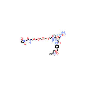 CC(=O)[C@H](C(C)C)N(C)C(=O)OCc1ccc(NC(=O)[C@H](CCCNC(N)=O)NC(=O)[C@@H](NC(=O)CCOCCOCCOCCOCCNC(=O)CCN2C(=O)C=CC2=O)C(C)C)cc1